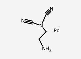 N#CN(C#N)CCN.[Pd]